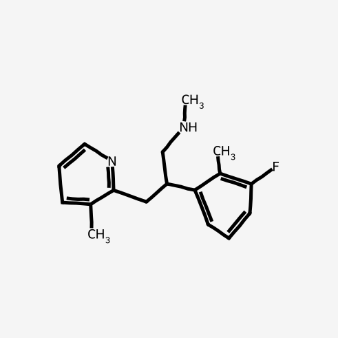 CNCC(Cc1ncccc1C)c1cccc(F)c1C